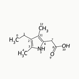 CCc1c(C)[nH]c(CC(=O)O)c1C